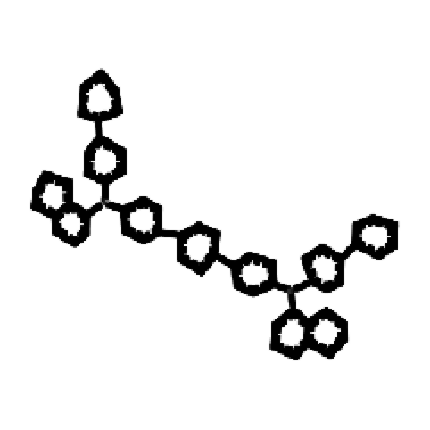 c1ccc(-c2ccc(N(c3ccc(-c4ccc(-c5ccc(N(c6ccc(-c7ccccc7)cc6)c6cccc7ccccc67)cc5)cc4)cc3)c3cccc4ccccc34)cc2)cc1